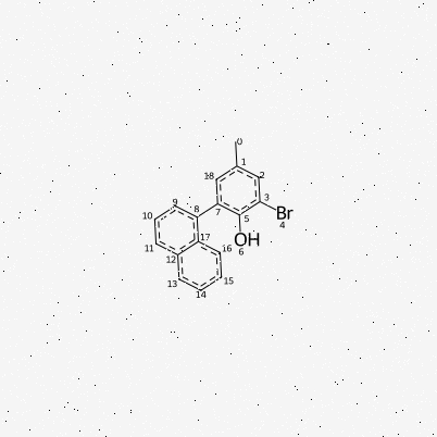 Cc1cc(Br)c(O)c(-c2cccc3ccccc23)c1